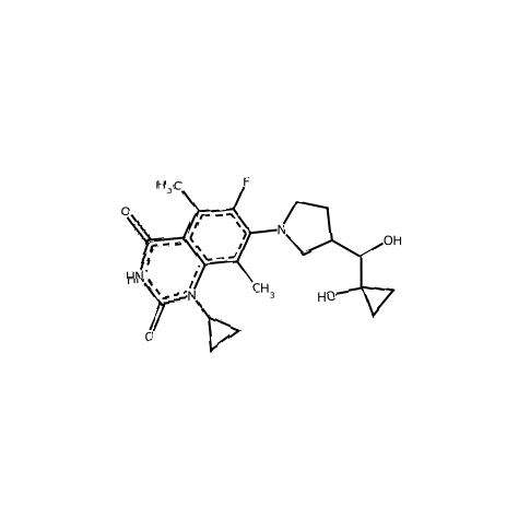 Cc1c(F)c(N2CCC(C(O)C3(O)CC3)C2)c(C)c2c1c(=O)[nH]c(=O)n2C1CC1